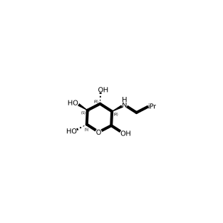 CC(C)CN[C@H]1C(O)O[C@H](O)[C@@H](O)[C@@H]1O